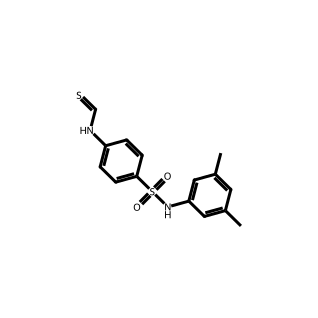 Cc1cc(C)cc(NS(=O)(=O)c2ccc(NC=S)cc2)c1